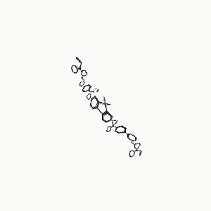 C=CC(=O)OCCOc1ccc(C(=O)Oc2ccc3c(c2)C(C)(C)c2cc(OC(=O)c4ccc(OCOC(=O)C=C)cc4)ccc2-3)cc1